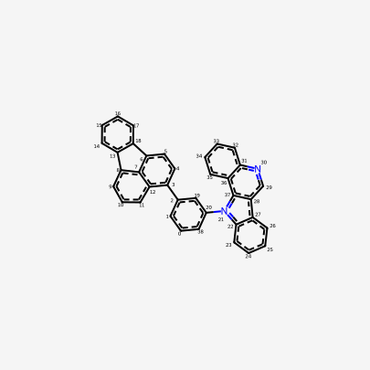 c1cc(-c2ccc3c4c(cccc24)-c2ccccc2-3)cc(-n2c3ccccc3c3cnc4ccccc4c32)c1